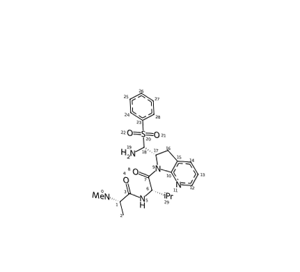 CN[C@@H](C)C(=O)N[C@H](C(=O)N1c2ncccc2C[C@H]1C(N)S(=O)(=O)c1ccccc1)C(C)C